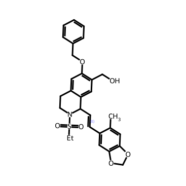 CCS(=O)(=O)N1CCc2cc(OCc3ccccc3)c(CO)cc2C1/C=C/c1cc2c(cc1C)OCO2